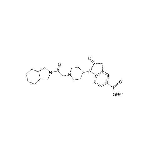 COC(=O)c1ccc2c(c1)CC(=O)N2C1CCN(CC(=O)N2CC3CCCCC3C2)CC1